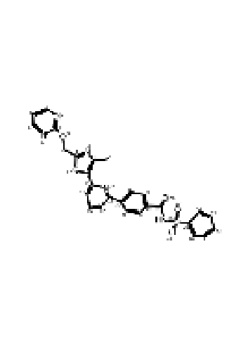 Cc1nc(COc2ncccn2)sc1-c1cccc(-c2ccc(C(=O)NS(=O)(=O)c3ccccc3)cc2)n1